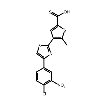 Cc1sc(C(O)=S)cc1-c1nc(-c2ccc(Cl)c([N+](=O)[O-])c2)cs1